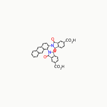 O=C(O)c1ccc2c(c1)C(=O)N(c1ccc3cc4ccccc4cc3c1N1C(=O)c3ccc(C(=O)O)cc3C1=O)C2=O